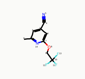 Cc1cc(C#N)cc(OCC(F)(F)F)n1